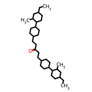 CCC1CCC(C2CCC(CCC(=O)CCC3CCC(C4CCC(CC)CC4C)CC3)CC2)C(C)C1